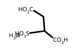 O=C(O)CC(C(=O)O)S(=O)(=O)O.[BiH3]